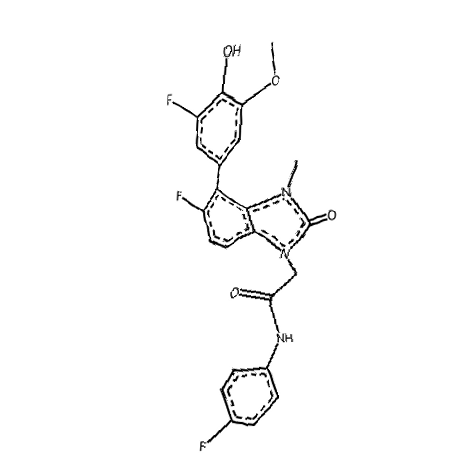 COc1cc(-c2c(F)ccc3c2n(C)c(=O)n3CC(=O)Nc2ccc(F)cc2)cc(F)c1O